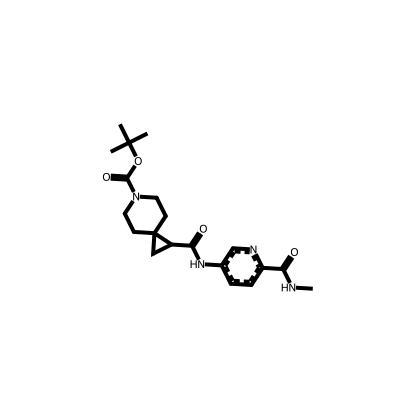 CNC(=O)c1ccc(NC(=O)C2CC23CCN(C(=O)OC(C)(C)C)CC3)cn1